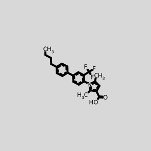 CCCCc1ccc(-c2ccc(-n3c(C)cc(C(=O)O)c3C)c(C(F)(F)F)c2)cc1